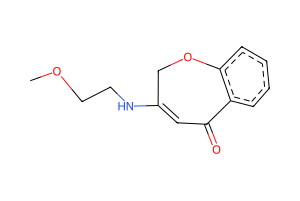 COCCNC1=CC(=O)c2ccccc2OC1